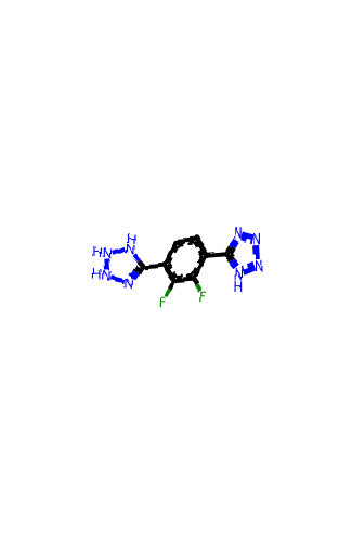 Fc1c(C2=NNNN2)ccc(-c2nnn[nH]2)c1F